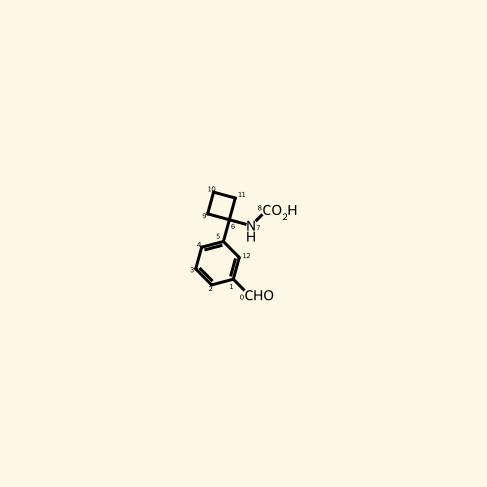 O=Cc1cccc(C2(NC(=O)O)CCC2)c1